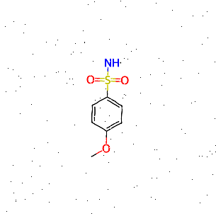 COc1ccc(S([NH])(=O)=O)cc1